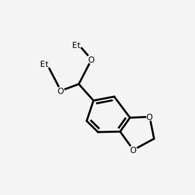 CCOC(OCC)c1ccc2c(c1)OCO2